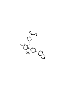 Cc1cc(=O)nc(C[C@@H]2CCN(C(=O)C3CC3)C2)n1-c1ccc(-c2ccc3occc3c2)cc1